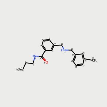 CCCCCCCCCCCCNC(=O)c1cccc(CNCc2cccc(C(F)(F)F)c2)c1